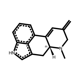 C=C1C=C2c3cccc4[nH]cc(c34)C[C@H]2N(C)C1